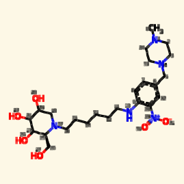 CN1CCN(Cc2ccc(NCCCCCCN3CC(O)C(O)C(O)[C@@H]3CO)c([N+](=O)[O-])c2)CC1